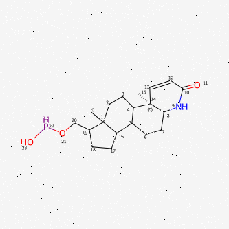 CC12CCC3C(CCC4NC(=O)C=C[C@@]43C)C1CCC2COPO